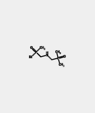 CCP(C)(=O)CNCP(C)(C)=O